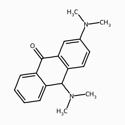 CN(C)c1ccc2c(c1)C(=O)c1ccccc1C2N(C)C